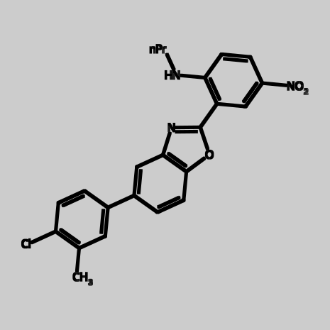 CCCNc1ccc([N+](=O)[O-])cc1-c1nc2cc(-c3ccc(Cl)c(C)c3)ccc2o1